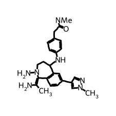 CNC(=O)Cc1ccc(NC2CCN(N)/C(=C(/C)N)c3ccc(-c4cnn(C)c4)cc32)cc1